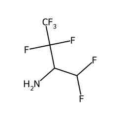 NC(C(F)F)C(F)(F)C(F)(F)F